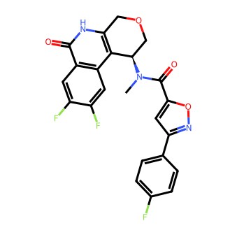 CN(C(=O)c1cc(-c2ccc(F)cc2)no1)[C@@H]1COCc2[nH]c(=O)c3cc(F)c(F)cc3c21